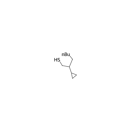 CCCCCC(CS)C1CC1